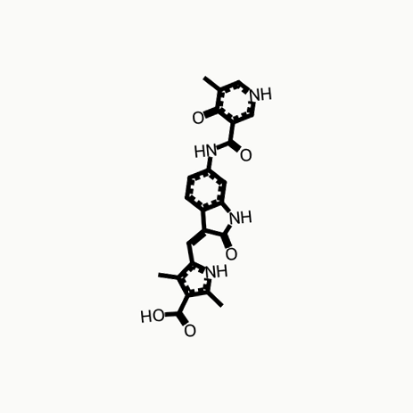 Cc1[nH]c(C=C2C(=O)Nc3cc(NC(=O)c4c[nH]cc(C)c4=O)ccc32)c(C)c1C(=O)O